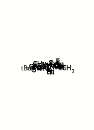 CCOc1nc(N2CC[C@@H](N(C)C(=O)OC(C)(C)C)C2)ncc1C(=O)Nc1cc(F)c2nn(C)cc2c1